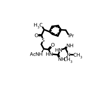 CC(=O)N[C@@H](CSC(=O)C(C)c1ccc(CC(C)C)cc1)C(=O)NC(=N)NC(=N)N(C)C